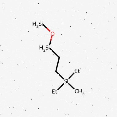 CC[Si](C)(CC)CC[SiH2]O[SiH3]